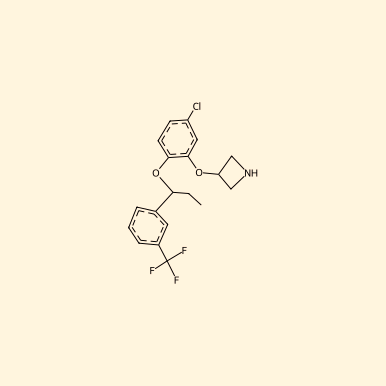 CCC(Oc1ccc(Cl)cc1OC1CNC1)c1cccc(C(F)(F)F)c1